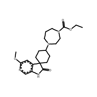 CCOC(=O)N1CCCN(C2CCC3(CC2)C(=O)Nc2cnc(OC)cc23)CC1